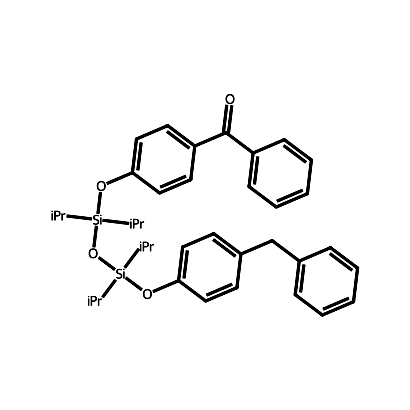 CC(C)[Si](Oc1ccc(Cc2ccccc2)cc1)(O[Si](Oc1ccc(C(=O)c2ccccc2)cc1)(C(C)C)C(C)C)C(C)C